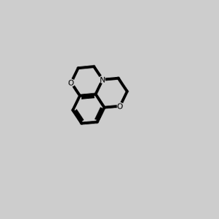 c1cc2c3c(c1)OCCN3CCO2